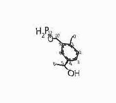 Cc1ccc(C(C)O)cc1COP